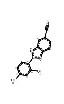 N#Cc1ccc2nn(-c3ccc(O)cc3O)nc2c1